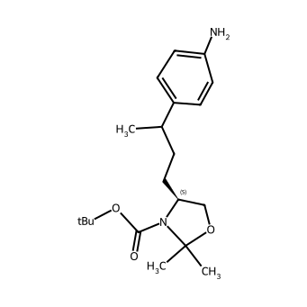 CC(CC[C@H]1COC(C)(C)N1C(=O)OC(C)(C)C)c1ccc(N)cc1